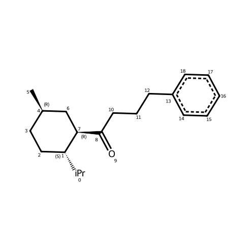 CC(C)[C@@H]1CC[C@@H](C)C[C@H]1C(=O)CCCc1ccccc1